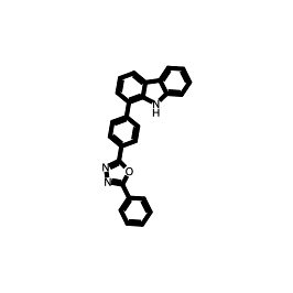 c1ccc(-c2nnc(-c3ccc(-c4cccc5c4[nH]c4ccccc45)cc3)o2)cc1